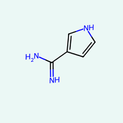 N=C(N)c1cc[nH]c1